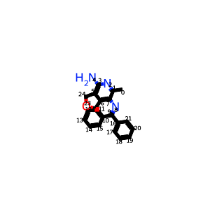 Cc1nc(N)c2c(c1N=C(c1ccccc1)c1ccccc1)COC2